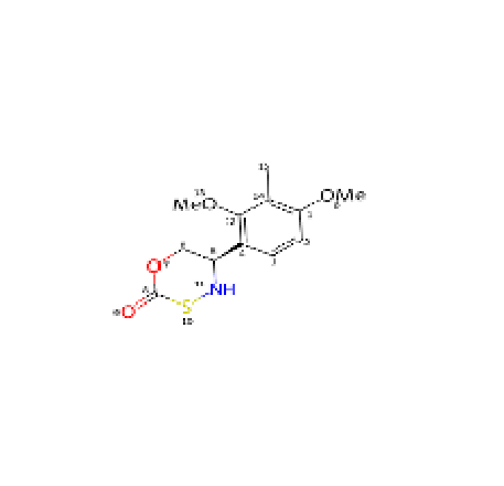 COc1ccc([C@@H]2COC(=O)SN2)c(OC)c1C